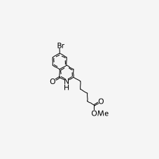 COC(=O)CCCCc1cc2cc(Br)ccc2c(=O)[nH]1